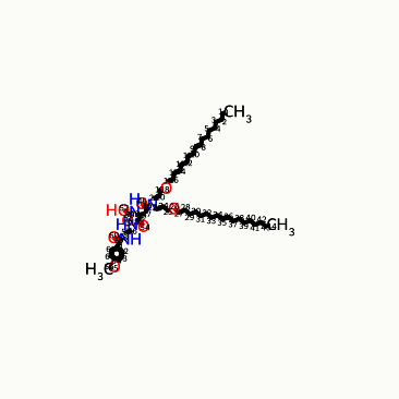 CCCCCCCCC=CCCCCCCCCOCCCN(CCCOCCCCCCCCC=CCCCCCCCC)C(=O)C[C@@H](NC(=O)O)C(=O)NCCNC(=O)c1ccc(OC)cc1